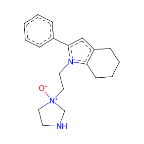 [O-][N+]1(CCn2c(-c3ccccc3)cc3c2CCCC3)CCNC1